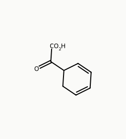 O=C(O)C(=O)C1C=CC=CC1